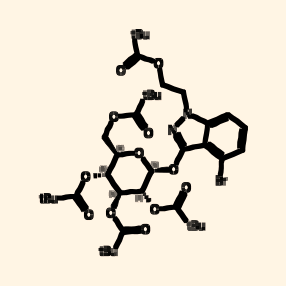 CC(C)(C)C(=O)OCCn1nc(O[C@@H]2O[C@H](COC(=O)C(C)(C)C)[C@@H](OC(=O)C(C)(C)C)[C@H](OC(=O)C(C)(C)C)[C@H]2OC(=O)C(C)(C)C)c2c(Br)cccc21